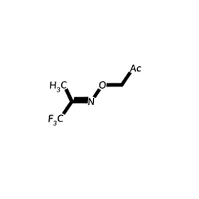 CC(=O)CO/N=C(\C)C(F)(F)F